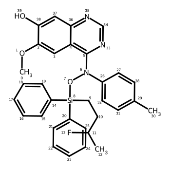 COc1cc2c(N(O[Si](CCC(C)F)(c3ccccc3)c3ccccc3)c3ccc(C)cc3)ncnc2cc1O